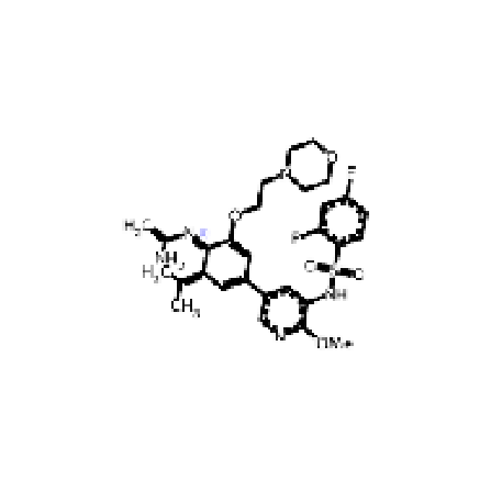 C=C(N)/N=C1/C(OCCN2CCOCC2)=CC(c2cnc(OC)c(NS(=O)(=O)c3ccc(F)cc3F)c2)=CC1=C(C)C